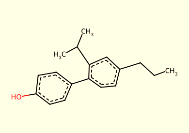 CCCc1ccc(-c2ccc(O)cc2)c(C(C)C)c1